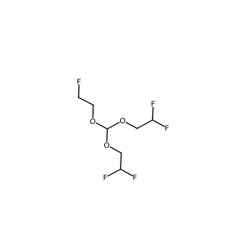 FCCOC(OCC(F)F)OCC(F)F